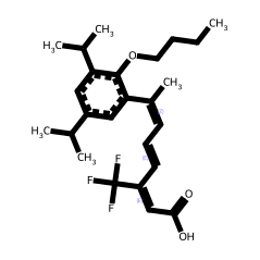 CCCCOc1c(\C(C)=C/C=C/C(=C\C(=O)O)C(F)(F)F)cc(C(C)C)cc1C(C)C